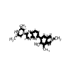 Cc1c(O)c(-c2ccc3nc(N4C[C@H](C)N[C@@H](C)C4)cnc3n2)cc2cn(C)nc12